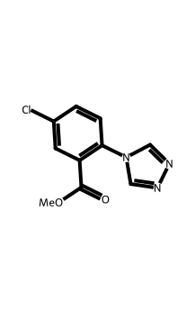 COC(=O)c1cc(Cl)ccc1-n1cnnc1